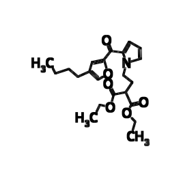 CCCCc1coc(C(=O)c2cccn2CCC(C(=O)OCC)C(=O)OCC)c1